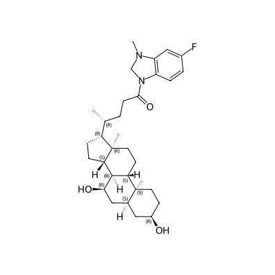 C[C@H](CCC(=O)N1CN(C)c2cc(F)ccc21)[C@H]1CC[C@H]2[C@@H]3[C@H](O)C[C@@H]4C[C@H](O)CC[C@]4(C)[C@H]3CC[C@]12C